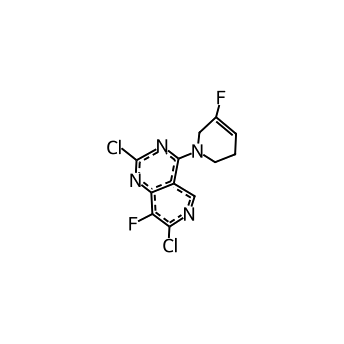 FC1=CCCN(c2nc(Cl)nc3c(F)c(Cl)ncc23)C1